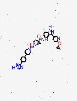 O=C(CN1CC[C@]2(C(=O)Nc3cc(F)c4[nH]nc(-c5ccc(OC6CC6)nc5)c4c3)CC12)N1CC=C(c2ccc(-c3nc[nH]n3)cc2)CC1